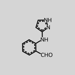 O=Cc1ccccc1Nc1cc[nH]n1